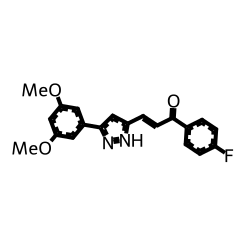 COc1cc(OC)cc(-c2cc(/C=C/C(=O)c3ccc(F)cc3)[nH]n2)c1